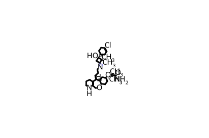 CC(C)(O[C@H]1CCC2OCC3=C(CCCN3)C(CCC/N=C3\CC(O)([C@@H]4CC=C(Cl)CC4)C3(C)C)[C@H]2C1)C(N)=O